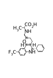 CC(NC[C@H]1CC[C@@H]2[C@H](O1)c1cc(C(F)(F)F)ccc1N[C@H]2C1C=CC=CC1)C(=O)O